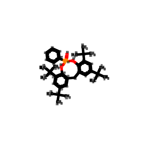 CC(C)(C)c1cc2c(c(C(C)(C)C)c1)OP(=O)(c1ccccc1)Oc1c(cc(C(C)(C)C)cc1C(C)(C)C)C2